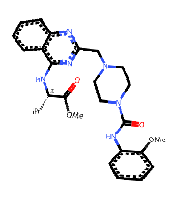 COC(=O)[C@@H](Nc1nc(CN2CCN(C(=O)Nc3ccccc3OC)CC2)nc2ccccc12)C(C)C